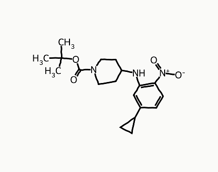 CC(C)(C)OC(=O)N1CCC(Nc2cc(C3CC3)ccc2[N+](=O)[O-])CC1